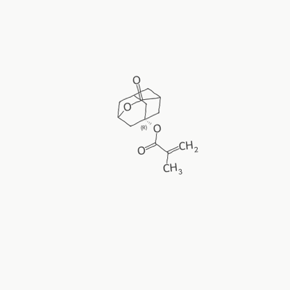 C=C(C)C(=O)O[C@@]12CC3CC(C1)OC(=O)C(C3)C2